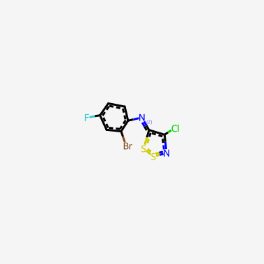 Fc1ccc(/N=c2\ssnc2Cl)c(Br)c1